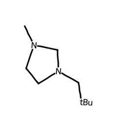 CN1CCN(CC(C)(C)C)C1